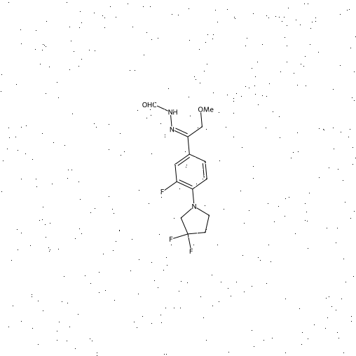 COC/C(=N\NC=O)c1ccc(N2CCC(F)(F)C2)c(F)c1